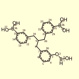 OBOc1cccc(CC(Cc2cccc(B(O)O)c2)Cc2cccc(B(O)O)c2)c1